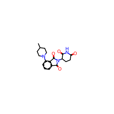 CC1CCN(c2cccc3c2C(=O)N(C2CCC(=O)NC2=O)C3=O)CC1